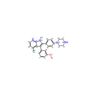 COc1cccc(-c2c(-c3ccc(N4CCNCC4)cc3)n(C)c3nccc(Cl)c23)c1